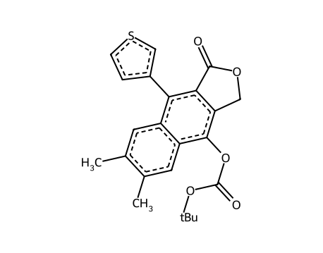 Cc1cc2c(OC(=O)OC(C)(C)C)c3c(c(-c4ccsc4)c2cc1C)C(=O)OC3